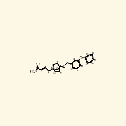 O=C(O)/C=C/CC12CCC(OCc3cccc(Oc4ccccc4)c3)(CC1)C2